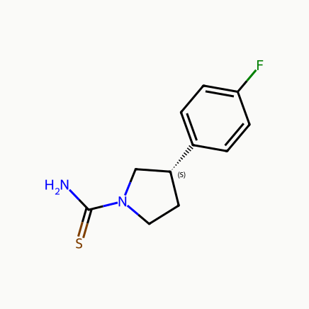 NC(=S)N1CC[C@@H](c2ccc(F)cc2)C1